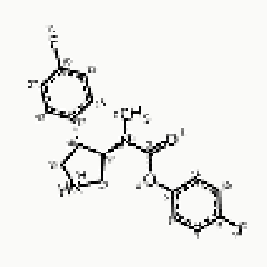 CN(C(=O)Oc1ccc(F)cc1)[C@H]1CNC[C@@H]1c1ccc(F)cc1